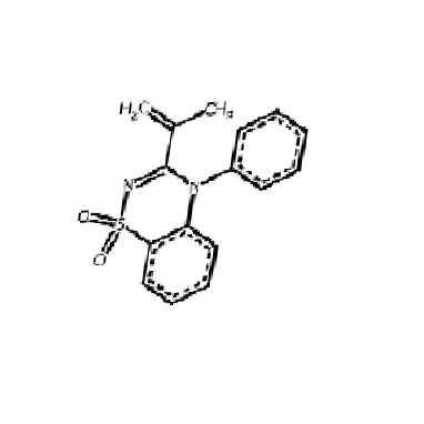 C=C(C)C1=NS(=O)(=O)c2ccccc2N1c1ccccc1